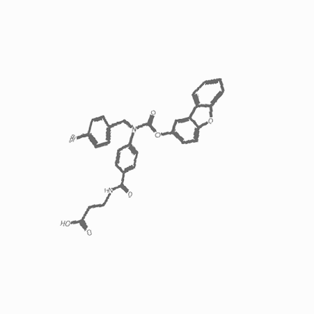 O=C(O)CCNC(=O)c1ccc(N(Cc2ccc(Br)cc2)C(=O)Oc2ccc3oc4ccccc4c3c2)cc1